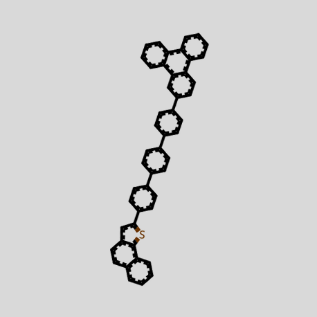 c1ccc2c(c1)ccc1cc(-c3ccc(-c4ccc(-c5ccc(-c6ccc7c8ccccc8c8ccccc8c7c6)cc5)cc4)cc3)sc12